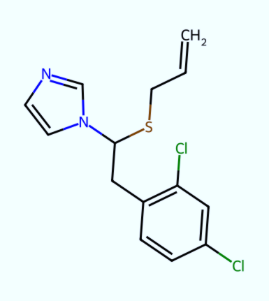 C=CCSC(Cc1ccc(Cl)cc1Cl)n1ccnc1